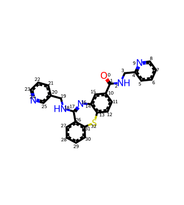 O=C(NCc1ccccn1)c1ccc2c(c1)N=C(NCc1cccnc1)c1ccccc1S2